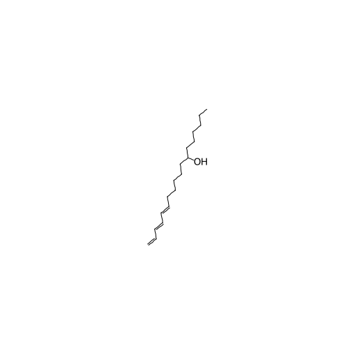 C=C/C=C/C=C/CCCCCC(O)CCCCCC